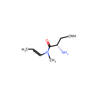 C/C=C/N(C)C(=O)[C@@H](N)COC